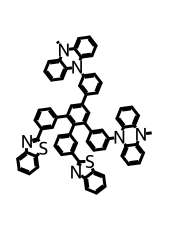 CN1c2ccccc2N(c2cccc(-c3cc(-c4cccc(-c5nc6ccccc6s5)c4)c(-c4cccc(-c5nc6ccccc6s5)c4)c(-c4cccc(N5c6ccccc6N(C)c6ccccc65)c4)c3)c2)c2ccccc21